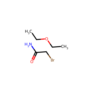 CCOCC.NC(=O)CBr